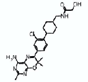 Cc1nc(N)c2c(n1)OC(C)(C)C(c1ccc(C3CCC(CNC(=O)CO)CC3)c(Cl)c1)=N2